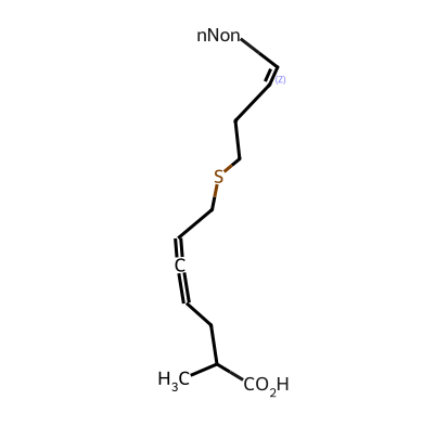 CCCCCCCCC/C=C\CCSCC=C=CCC(C)C(=O)O